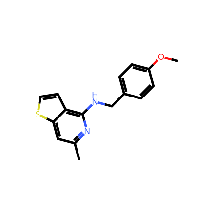 COc1ccc(CNc2nc(C)cc3sccc23)cc1